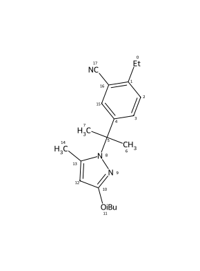 CCc1ccc(C(C)(C)n2nc(OCC(C)C)cc2C)cc1C#N